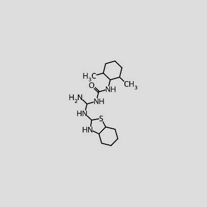 CC1CCCC(C)C1NC(=O)NC(N)NC1NC2CCCCC2S1